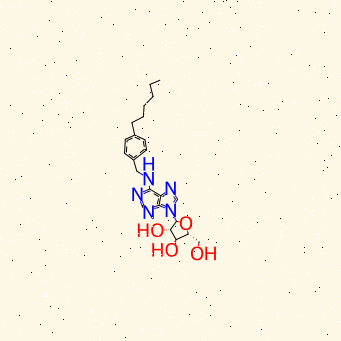 CCCCCCc1ccc(CNc2ncnc3c2ncn3C2O[C@H](CO)[C@@H](O)[C@@H]2O)cc1